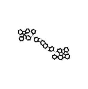 c1ccc(N(c2cccc(C3(c4ccccc4)c4ccccc4-c4ccccc43)c2)c2ccc3c(c2)oc2cc4cc5c(cc4cc23)oc2cc(N(c3ccccc3)c3cccc(C4(c6ccccc6)c6ccccc6-c6ccccc64)c3)ccc25)cc1